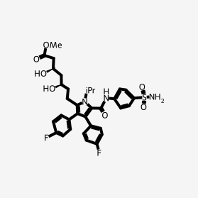 COC(=O)C[C@H](O)C[C@H](O)CCc1c(-c2ccc(F)cc2)c(-c2ccc(F)cc2)c(C(=O)Nc2ccc(S(N)(=O)=O)cc2)n1C(C)C